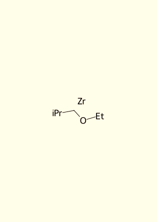 [CH2]COCC(C)C.[Zr]